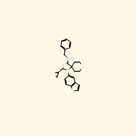 Cn1ccc2cc(N(C(=O)C3CO3)C3(C(=O)NCc4ccccc4)CCOCC3)ccc21